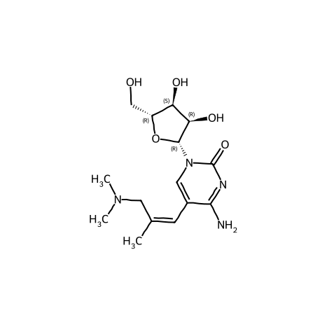 CC(=Cc1cn([C@@H]2O[C@H](CO)[C@@H](O)[C@H]2O)c(=O)nc1N)CN(C)C